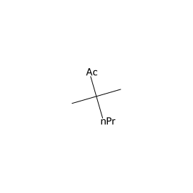 [CH2]C(=O)C(C)(C)CCC